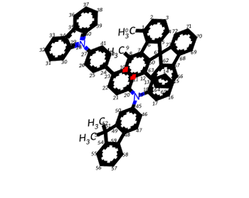 Cc1cccc2c1-c1c(C)ccc(-c3ccccc3N(c3ccc(-c4ccc(-n5c6ccccc6c6ccccc65)cc4)cc3)c3ccc4c(c3)C(C)(C)c3ccccc3-4)c1C21c2ccccc2-c2ccccc21